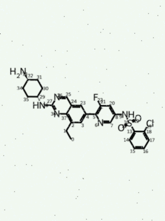 CCc1cc(-c2ncc(NS(=O)(=O)c3ccccc3Cl)cc2F)cc2cnc(N[C@H]3CC[C@H](N)CC3)nc12